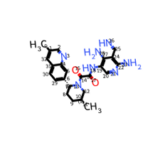 Cc1cnc2cc([C@H]3CC[C@H](C)CN3C(=O)C(=O)Nc3cnc(N)c(C=N)c3N)ccc2c1